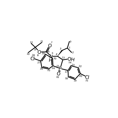 CC(C)C[C@H](NC(=O)OC(C)(C)C)C(O)P(=O)(c1ccc(Cl)cc1)c1ccc(Cl)cc1